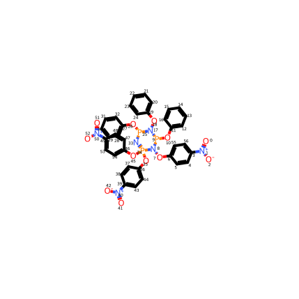 O=[N+]([O-])c1ccc(ON2P(Oc3ccccc3)N(Oc3ccccc3)P(Oc3ccccc3)N=P2(Oc2ccc([N+](=O)[O-])cc2)Oc2ccc([N+](=O)[O-])cc2)cc1